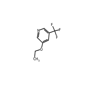 CCOc1cncc(C(F)(F)F)c1